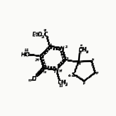 CCOC(=O)c1nc(C2(C)CCCS2)n(C)c(=O)c1O